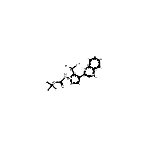 CC(C)(C)OC(=O)Nn1ncc(-c2cnc3ccccc3n2)c1C(F)F